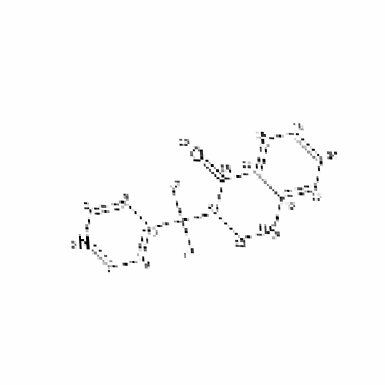 CC(C)(c1ccncc1)C1CSc2ccccc2C1=O